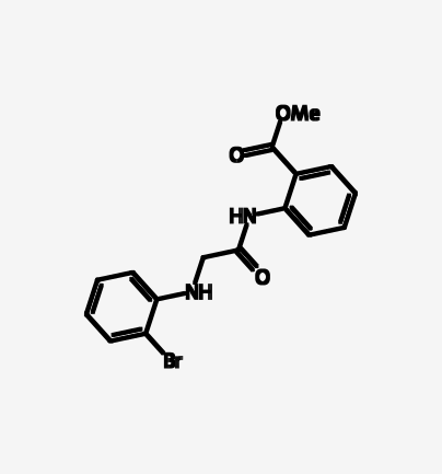 COC(=O)c1ccccc1NC(=O)CNc1ccccc1Br